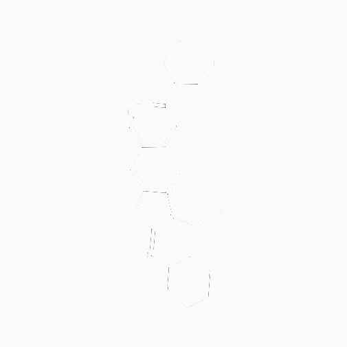 C=C(\C=C/C(=C\C)/C=C1/O/C(=N/C2CCCCC2)N(CC)C1=O)N(CC)CC